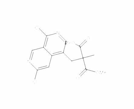 COC(=O)C(C)(Cc1cnc(Cl)c2cnc(Cl)cc12)C(=O)OC